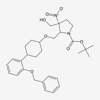 CC(C)(C)OC(=O)N1CCC(CO)([N+](=O)[O-])C1COC1CCC(c2ccccc2OCc2ccccc2)CC1